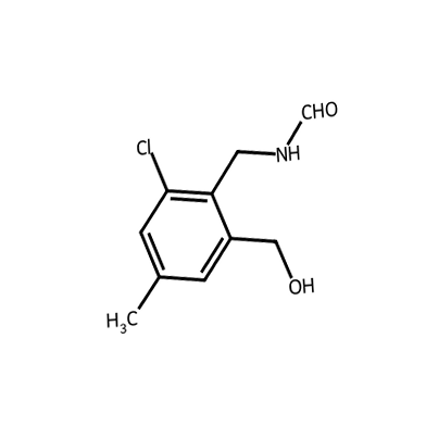 Cc1cc(Cl)c(CNC=O)c(CO)c1